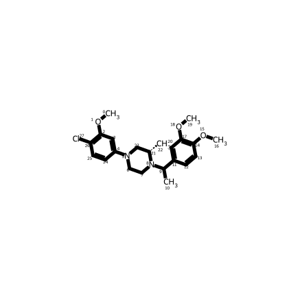 COc1cc(N2CCN(C(C)c3ccc(OC)c(OC)c3)[C@@H](C)C2)ccc1Cl